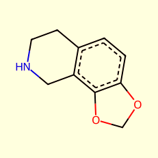 c1cc2c(c3c1CCNC3)OCO2